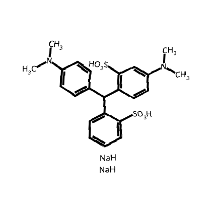 CN(C)c1ccc(C(c2ccccc2S(=O)(=O)O)c2ccc(N(C)C)cc2S(=O)(=O)O)cc1.[NaH].[NaH]